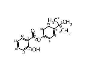 CC(C)(C)C1=CC=C(OC(=O)c2ccccc2O)CC1